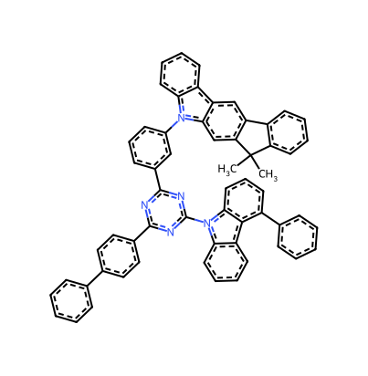 CC1(C)c2ccccc2-c2cc3c4ccccc4n(-c4cccc(-c5nc(-c6ccc(-c7ccccc7)cc6)nc(-n6c7ccccc7c7c(-c8ccccc8)cccc76)n5)c4)c3cc21